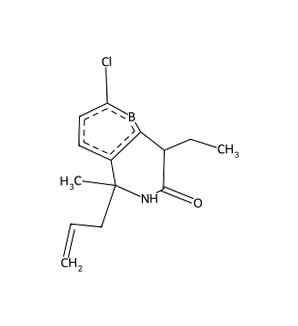 C=CCC1(C)NC(=O)C(CC)c2bc(Cl)ccc21